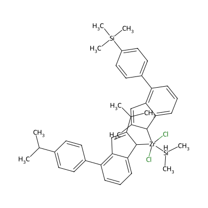 CC1=Cc2c(-c3ccc([Si](C)(C)C)cc3)cccc2[CH]1[Zr]([Cl])([Cl])([CH]1C(C(C)C)=Cc2c(-c3ccc(C(C)C)cc3)cccc21)[SiH](C)C